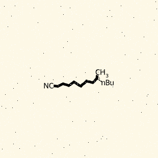 CCCC[C@@H](C)CCCCCCCC#N